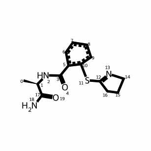 C[C@@H](NC(=O)c1ccccc1SC1=NCCC1)C(N)=O